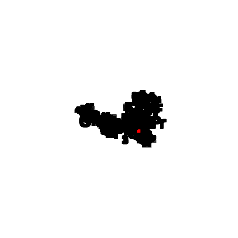 CCc1c(F)ccc2cccc(-c3nc(OC(C)C)c4c(N5CC6CCC(C5)N6C(=O)C(F)(F)F)nc(OC[C@]56CCCN5[C@@H](COC(=O)N(C)C)CC6)nc4c3F)c12